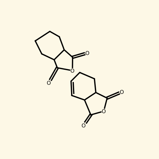 O=C1OC(=O)C2CCC=CC12.O=C1OC(=O)C2CCCCC12